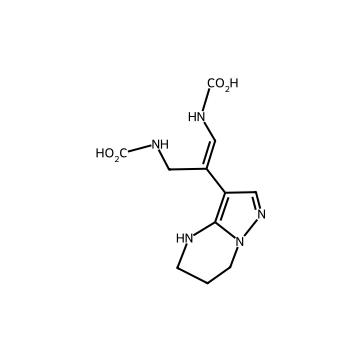 O=C(O)NC=C(CNC(=O)O)c1cnn2c1NCCC2